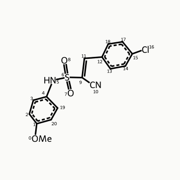 COc1ccc(NS(=O)(=O)/C(C#N)=C/c2ccc(Cl)cc2)cc1